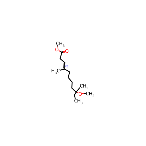 CCC(C)(CCCC/C(C)=C/CC(=O)OC)OC